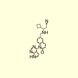 N#CCC(NCc1ccc2c(ccc(=O)n2-c2ncnc3[nH]ccc23)c1)C1CCC1